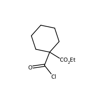 CCOC(=O)C1(C(=O)Cl)CCCCC1